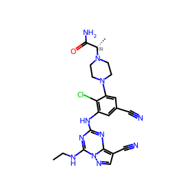 CCNc1nc(Nc2cc(C#N)cc(N3CCN([C@@H](C)C(N)=O)CC3)c2Cl)nc2c(C#N)cnn12